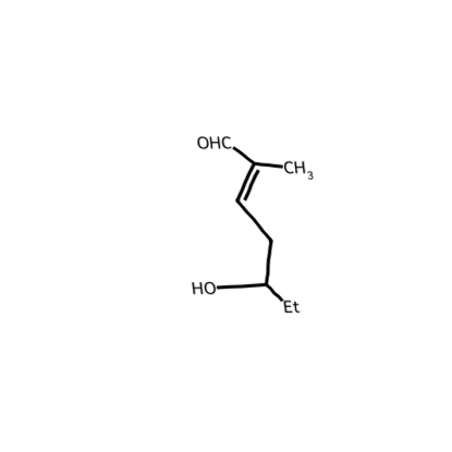 CCC(O)CC=C(C)C=O